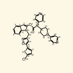 O=C(Oc1cc2ccccc2n1Cc1cc(-c2ccc(Cl)s2)on1)N(c1ccncc1)C1CCN(c2ccncc2)CC1